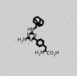 Nc1nc(NCC23CC4CC(CC(C4)C2)C3)nc(-c2ccc(C[C@H](N)C(=O)O)cc2)n1